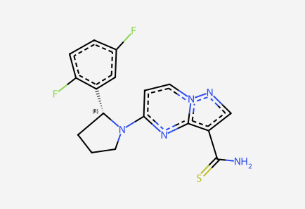 NC(=S)c1cnn2ccc(N3CCC[C@@H]3c3cc(F)ccc3F)nc12